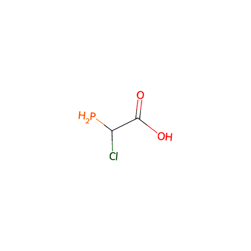 O=C(O)C(P)Cl